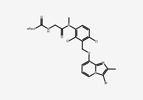 CCCCCC(=O)NCC(=O)N(C)c1ccc(Cl)c(COc2cccn3c(Br)c(C)nc23)c1Cl